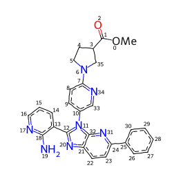 COC(=O)C1CCN(c2ccc(-n3c(-c4cccnc4N)nc4ccc(-c5ccccc5)nc43)cn2)C1